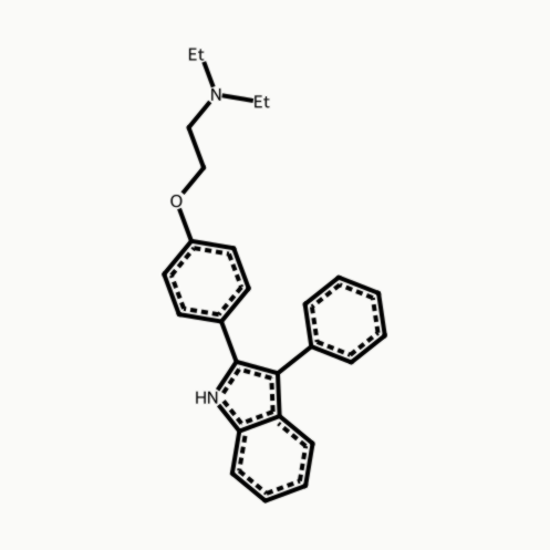 CCN(CC)CCOc1ccc(-c2[nH]c3ccccc3c2-c2ccccc2)cc1